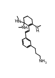 CNC1=C(/C=C/c2cccc(CCCN)c2)C(NC)(NC)CCC1